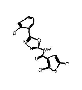 O=C(Nc1nnc(-c2ccccc2Cl)o1)c1cc(Cl)sc1Cl